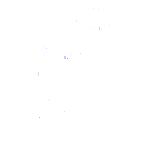 CCCCNc1nc(N)c2nc(O)n(Cc3ccc(C(=O)N[C@@H](CCCCN)C(=O)NCCCN(CCCCN(CCCNC(=O)OC(C)(C)C)C(=O)OC(C)(C)C)C(=O)OC(C)(C)C)cc3)c2n1